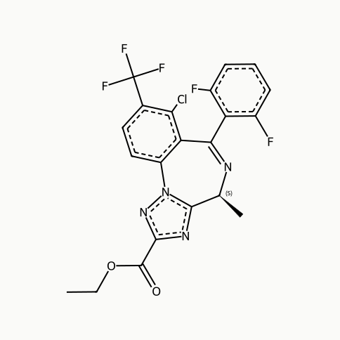 CCOC(=O)c1nc2n(n1)-c1ccc(C(F)(F)F)c(Cl)c1C(c1c(F)cccc1F)=N[C@H]2C